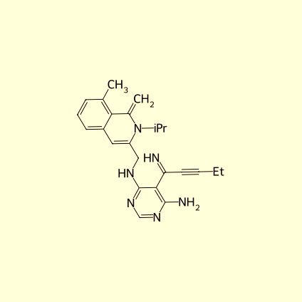 C=C1c2c(C)cccc2C=C(CNc2ncnc(N)c2C(=N)C#CCC)N1C(C)C